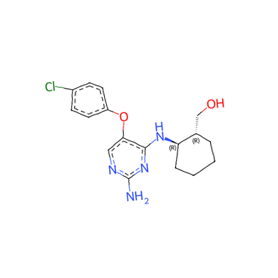 Nc1ncc(Oc2ccc(Cl)cc2)c(N[C@@H]2CCCC[C@H]2CO)n1